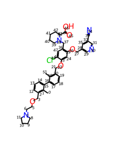 Cc1c(COCCN2CCCC2)cccc1-c1cccc(COc2cc(OCc3cncc(C#N)c3)c(CN3CCCC[C@H]3C(=O)O)cc2Cl)c1C